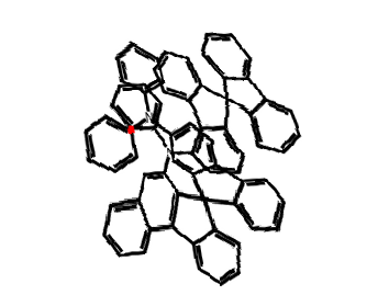 c1ccc(N(c2ccccc2)c2ccc3c(c2)C2(c4ccccc4-3)c3ccccc3-c3c2c(N(c2ccccc2)c2cccc4c2-c2ccccc2C42c4ccccc4-c4ccccc42)cc2ccccc32)cc1